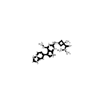 COc1nc(N[C@H]2C[C@@](C)(C(=O)N(C)C)C2)nc2[nH]cc(-c3ccn4ncnc4c3)c12